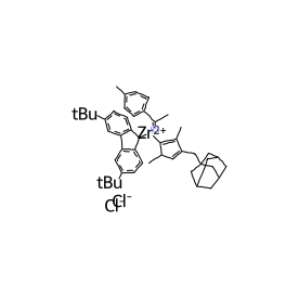 CC1=[C](/[Zr+2](=[C](\C)c2ccc(C)cc2)[CH]2c3ccc(C(C)(C)C)cc3-c3cc(C(C)(C)C)ccc32)C(C)C=C1CC12CC3CC(CC(C3)C1)C2.[Cl-].[Cl-]